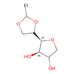 CCC1OCC([C@H]2OCC(O)[C@H]2O)O1